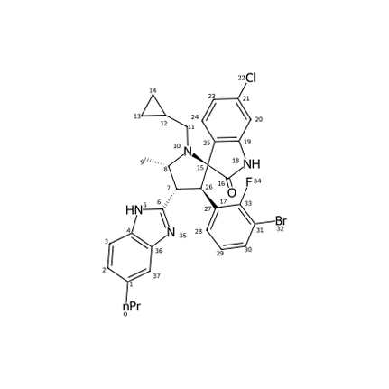 CCCc1ccc2[nH]c([C@@H]3[C@H](C)N(CC4CC4)[C@@]4(C(=O)Nc5cc(Cl)ccc54)[C@H]3c3cccc(Br)c3F)nc2c1